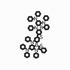 c1ccc(N(c2ccccc2)c2cc3c4c(c2)N(c2ccccc2)c2cc5c(cc2B4c2ccccc2N3c2ccccc2)sc2cc3c(cc25)N(c2ccccc2)c2cc(N(c4ccccc4)c4ccccc4)cc4c2B3c2sc3ccccc3c2N4c2ccccc2)cc1